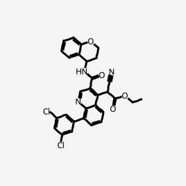 CCOC(=O)C(C#N)c1c(C(=O)NC2CCOc3ccccc32)cnc2c(-c3cc(Cl)cc(Cl)c3)cccc12